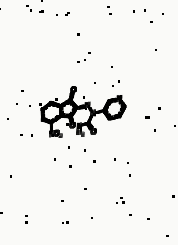 NC(=O)N(/N=c1/c(=O)c2cccc([N+](=O)[O-])c2c1=O)c1cccnc1